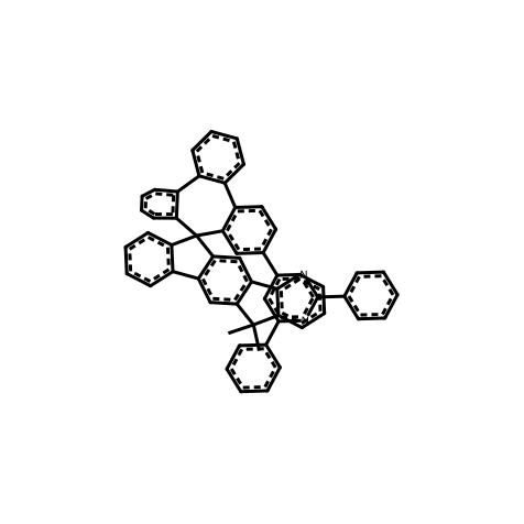 CC1(C)c2ccccc2-c2cc3c(cc21)-c1ccccc1C31c2ccccc2-c2ccccc2-c2ccc(-c3cc(-c4ccccc4)nc(-c4ccccc4)n3)cc21